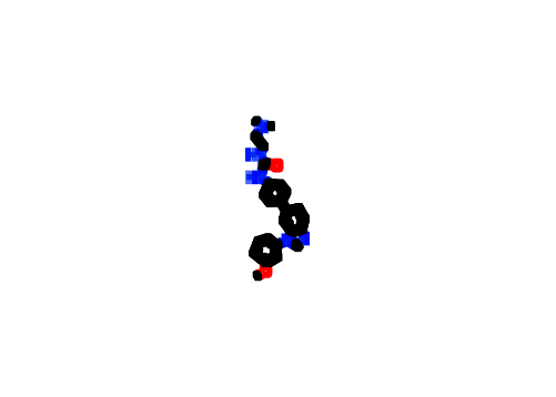 COc1cccc(-n2cnc3ccc(-c4ccc(NC(=O)NCCN(C)C)cc4)cc32)c1